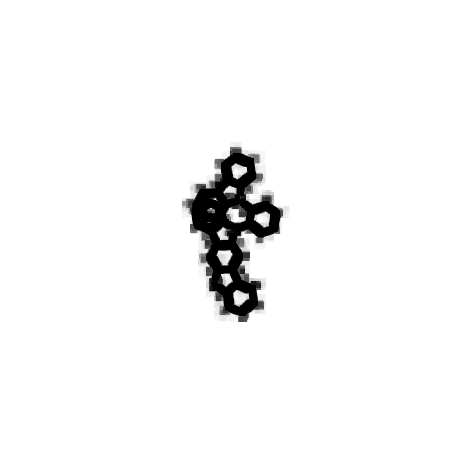 c1ccc(-n2c3ccccc3c3cc4sc5ccccc5c4cc32)c(-n2c3ccccc3c3ccccc32)c1